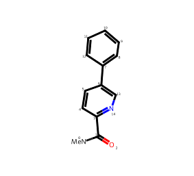 CNC(=O)c1ccc(-c2ccccc2)cn1